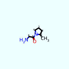 CC1CCCN1C(=O)CN